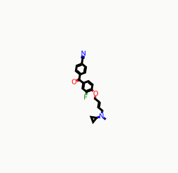 CN(CC=CCOc1ccc(C(=O)c2ccc(C#N)cc2)cc1F)C1CC1